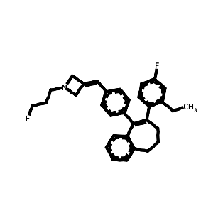 CCc1cc(F)ccc1C1=C(c2ccc(C=C3CN(CCCF)C3)cc2)c2ccccc2CCC1